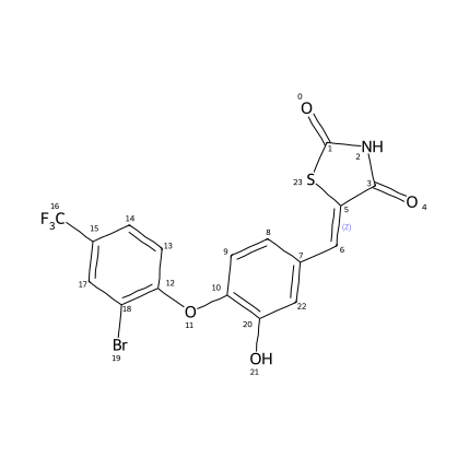 O=C1NC(=O)/C(=C/c2ccc(Oc3ccc(C(F)(F)F)cc3Br)c(O)c2)S1